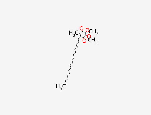 CCCCCCCCCCCCCC=CC=CC=CC1=C(C)C(=O)C(OC)=C(OC)C1=O